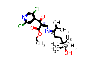 CCOC(=O)/C(=C\N[C@H](CCC(C)(C)[Si](C)(C)O)C(C)C)C(=O)c1cc(Cl)ncc1Cl